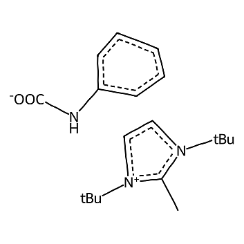 Cc1n(C(C)(C)C)cc[n+]1C(C)(C)C.O=C([O-])Nc1ccccc1